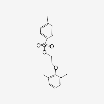 Cc1ccc(S(=O)(=O)OCCOc2c(C)cccc2C)cc1